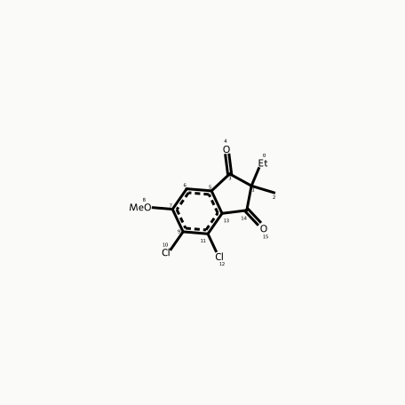 CCC1(C)C(=O)c2cc(OC)c(Cl)c(Cl)c2C1=O